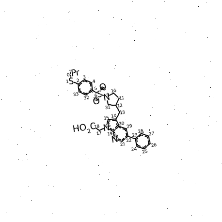 CC(C)Sc1ccc(S(=O)(=O)N2CCC(Cc3cn(CC(=O)O)c4ncc(-c5ccccc5)cc34)C2)cc1